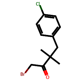 CC(C)(Cc1ccc(Cl)cc1)C(=O)CBr